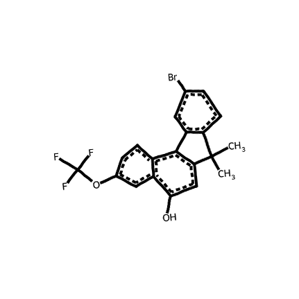 CC1(C)c2ccc(Br)cc2-c2c1cc(O)c1cc(OC(F)(F)F)ccc21